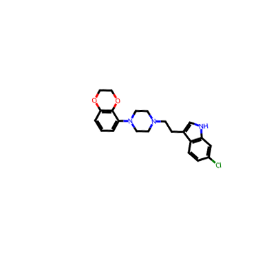 Clc1ccc2c(CCN3CCN(c4cccc5c4OCCO5)CC3)c[nH]c2c1